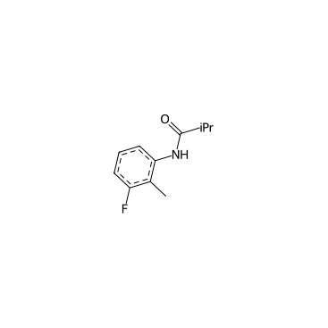 Cc1c(F)cccc1NC(=O)C(C)C